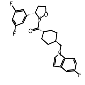 O=C([C@H]1CC[C@H](Cn2ccc3cc(F)ccc32)CC1)N1OCC[C@H]1c1cc(F)cc(F)c1